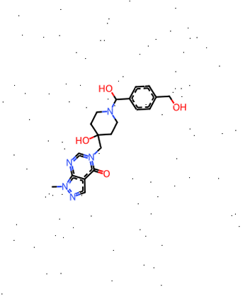 Cn1ncc2c(=O)n(CC3(O)CCN(C(O)c4ccc(CO)cc4)CC3)cnc21